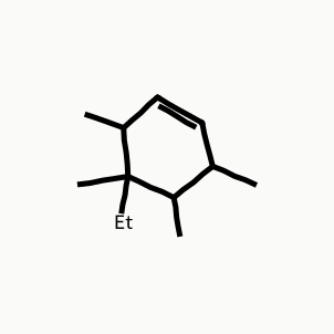 CCC1(C)C(C)C=CC(C)C1C